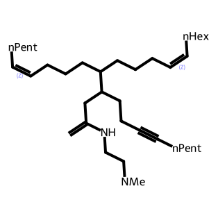 C=C(CC(CCC#CCCCCC)C(CCC/C=C\CCCCC)CCC/C=C\CCCCCC)NCCNC